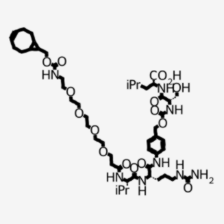 CC(C)C[C@H](NC(=O)[C@H](CO)NC(=O)OCc1ccc(NC(=O)[C@H](CCCNC(N)=O)NC(=O)[C@@H](NC(=O)CCOCCOCCOCCOCCNC(=O)OCC2C3CCC#CCCC32)C(C)C)cc1)C(=O)O